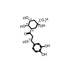 O=C(C[C@@H](O)c1ccc(O)c(O)c1)[C@@H]1C[C@@](O)(C(=O)O)C[C@@H](O)[C@@H]1O